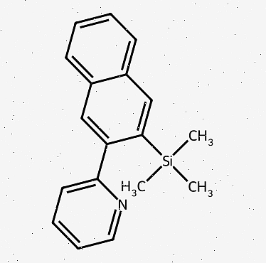 C[Si](C)(C)c1cc2ccccc2cc1-c1ccccn1